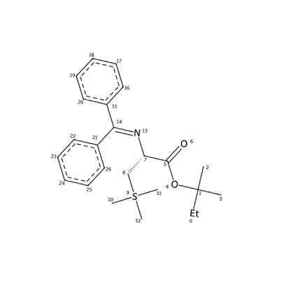 CCC(C)(C)OC(=O)[C@H](CS(C)(C)C)N=C(c1ccccc1)c1ccccc1